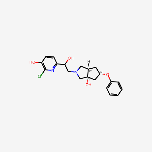 Oc1ccc(C(O)CN2C[C@H]3C[C@H](Oc4ccccc4)C[C@@]3(O)C2)nc1Cl